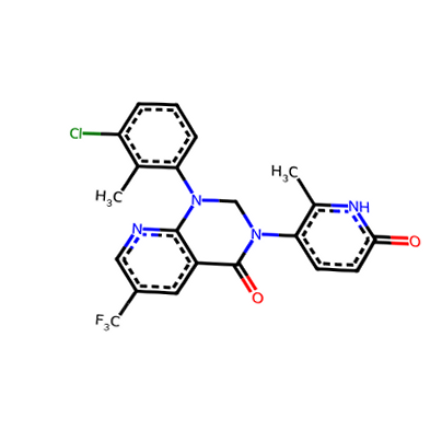 Cc1[nH]c(=O)ccc1N1CN(c2cccc(Cl)c2C)c2ncc(C(F)(F)F)cc2C1=O